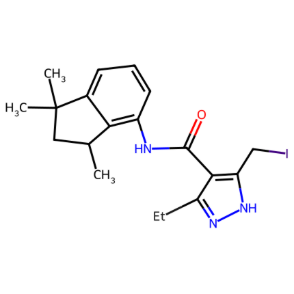 CCc1n[nH]c(CI)c1C(=O)Nc1cccc2c1C(C)CC2(C)C